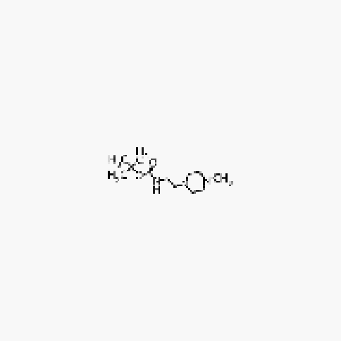 CN1CCN(CCNC(=O)OC(C)(C)C)CC1